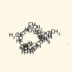 C=C1C2C[C@@H]3O[C@H](C[C@H](O)CNC)[C@H](OC)[C@H]3C(C)C(=O)C[C@H]3CC[C@@H]4O[C@@H]5[C@H]6O[C@@H]7C[C@](CC[C@H]8CC(=C)[C@H](CC[C@@H](C[C@H]1C)O2)O8)(O[C@H]6[C@H]4O3)O[C@H]57